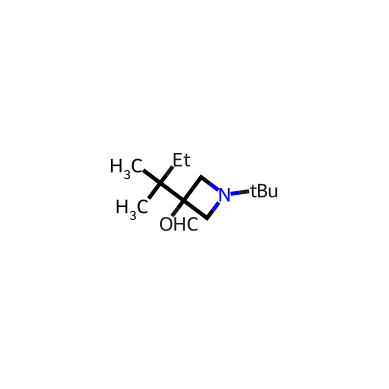 CCC(C)(C)C1(C=O)CN(C(C)(C)C)C1